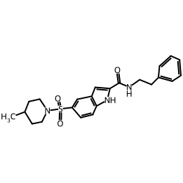 CC1CCN(S(=O)(=O)c2ccc3[nH]c(C(=O)NCCc4ccccc4)cc3c2)CC1